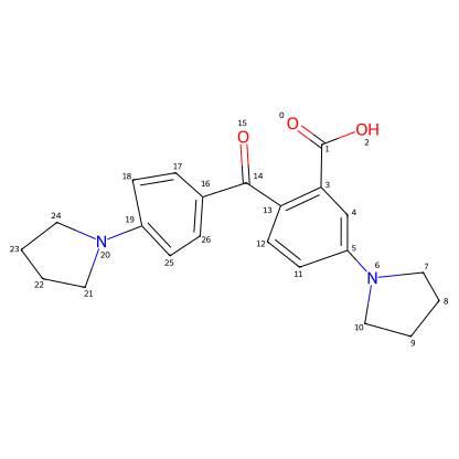 O=C(O)c1cc(N2CCCC2)ccc1C(=O)c1ccc(N2CCCC2)cc1